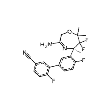 CC1(C)OCC(N)=N[C@](C)(c2cc(-c3cc(C#N)ccc3F)ccc2F)C1(F)F